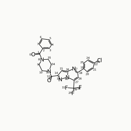 O=C(c1ccccc1)N1CCN(C(=O)c2cc3nc(-c4ccc(Cl)cc4)cc(C(F)(F)F)n3n2)CC1